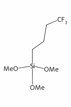 CO[Si](CCCC(F)(F)F)(OC)OC